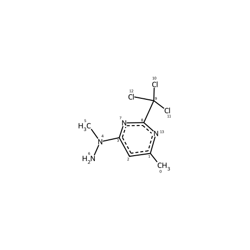 Cc1cc(N(C)N)nc(C(Cl)(Cl)Cl)n1